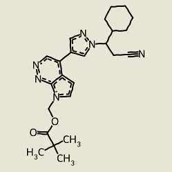 CC(C)(C)C(=O)OCn1ccc2c(-c3cnn(C(CC#N)C4CCCCC4)c3)cnnc21